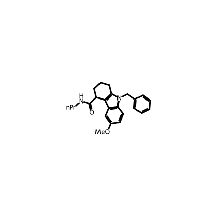 CCCNC(=O)C1CCCc2c1c1cc(OC)ccc1n2Cc1ccccc1